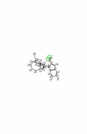 Cc1cc2c(cc1C)[CH]([Zr+2][CH]1C3=Cc4cc(C)c(cc41)CCC3)C=C2.[Cl-].[Cl-]